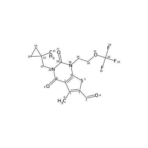 Cc1c(C=O)sc2c1c(=O)n(CC1(C)CC1)c(=O)n2CCOC(F)(F)F